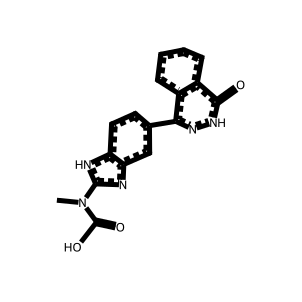 CN(C(=O)O)c1nc2cc(-c3n[nH]c(=O)c4ccccc34)ccc2[nH]1